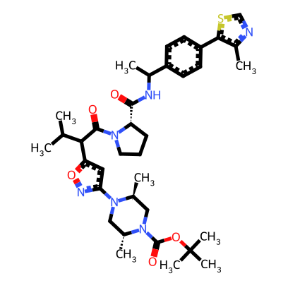 Cc1ncsc1-c1ccc(C(C)NC(=O)[C@@H]2CCCN2C(=O)C(c2cc(N3C[C@@H](C)N(C(=O)OC(C)(C)C)C[C@@H]3C)no2)C(C)C)cc1